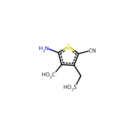 N#Cc1sc(N)c(C(=O)O)c1CS(=O)(=O)O